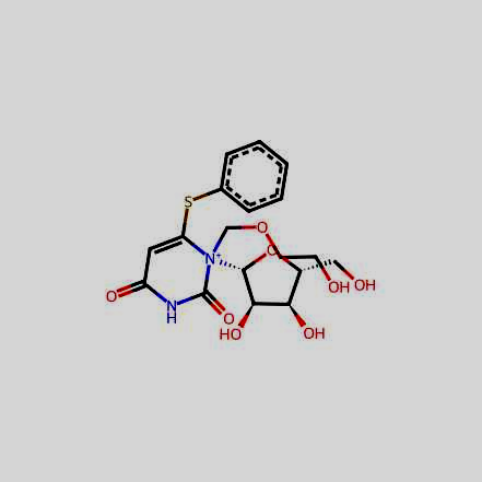 O=C1C=C(Sc2ccccc2)[N+](COCCO)([C@@H]2O[C@H](CO)[C@@H](O)[C@H]2O)C(=O)N1